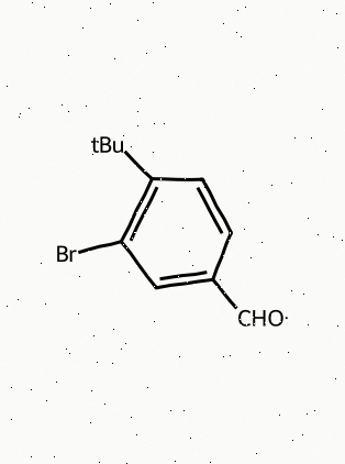 CC(C)(C)c1ccc([C]=O)cc1Br